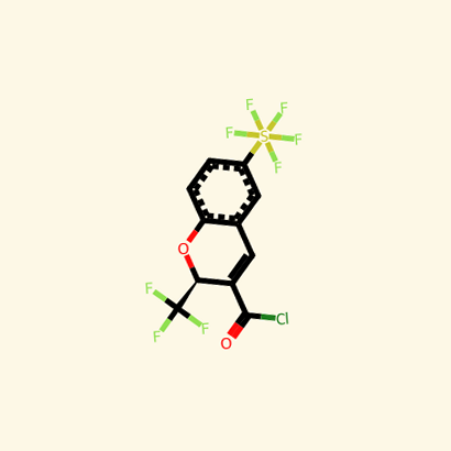 O=C(Cl)C1=Cc2cc(S(F)(F)(F)(F)F)ccc2O[C@@H]1C(F)(F)F